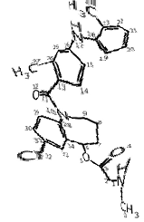 CNCC(=O)OC1CCCN(C(=O)c2ccc(Nc3ccccc3C)cc2C)c2ccc(Cl)cc21